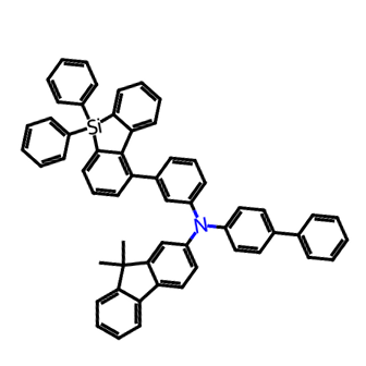 CC1(C)c2ccccc2-c2ccc(N(c3ccc(-c4ccccc4)cc3)c3cccc(-c4cccc5c4-c4ccccc4[Si]5(c4ccccc4)c4ccccc4)c3)cc21